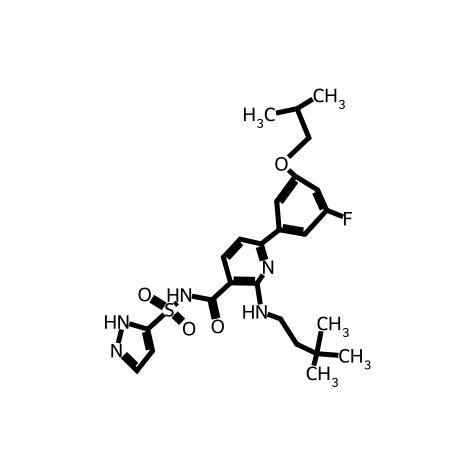 CC(C)COc1cc(F)cc(-c2ccc(C(=O)NS(=O)(=O)c3ccn[nH]3)c(NCCC(C)(C)C)n2)c1